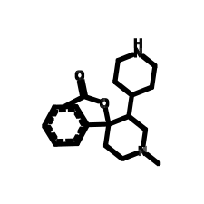 CC(=O)OC1(c2ccccc2)CCN(C)CC1C1CCNCC1